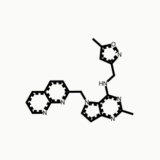 Cc1nc(NCc2cc(C)on2)c2c(ccn2Cc2ccc3cccnc3n2)n1